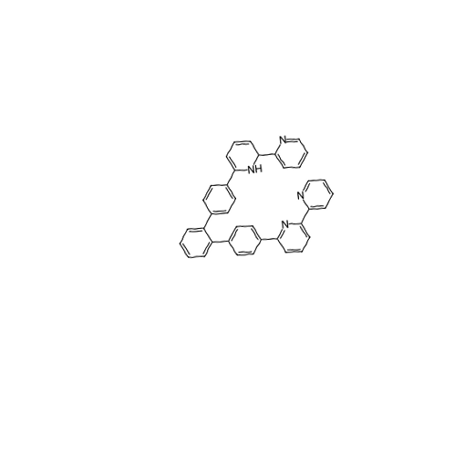 C1=CC(c2ccccn2)NC(c2ccc(-c3ccccc3-c3ccc(-c4cccc(-c5ccccn5)n4)cc3)cc2)=C1